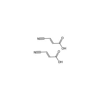 N#CC=CC(=O)O.N#CC=CC(=O)O